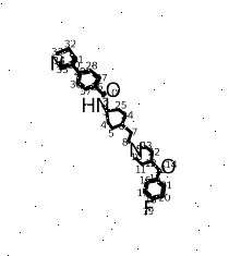 O=C(NC1CCC(CCN2CCC(C(=O)c3ccc(F)cc3)CC2)CC1)c1ccc(-c2cccnc2)cc1